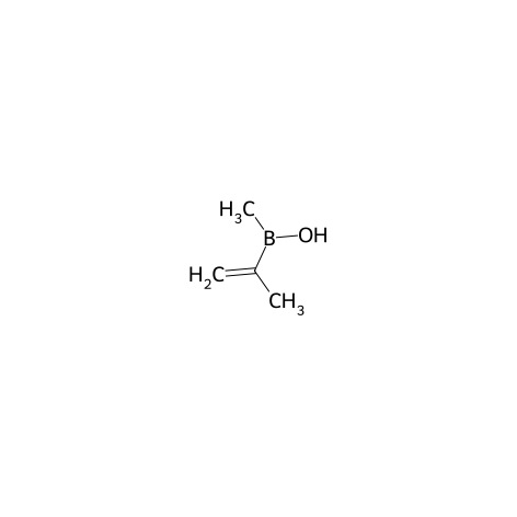 C=C(C)B(C)O